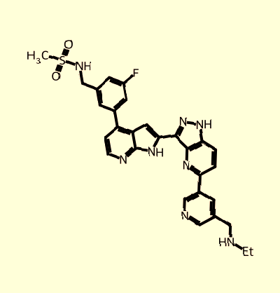 CCNCc1cncc(-c2ccc3[nH]nc(-c4cc5c(-c6cc(F)cc(CNS(C)(=O)=O)c6)ccnc5[nH]4)c3n2)c1